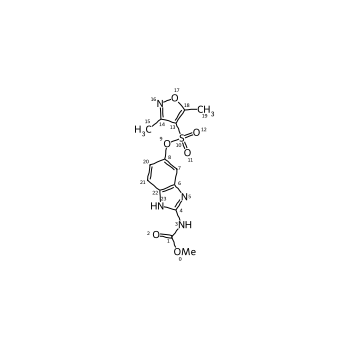 COC(=O)Nc1nc2cc(OS(=O)(=O)c3c(C)noc3C)ccc2[nH]1